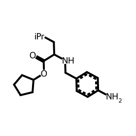 CC(C)CC(NCc1ccc(N)cc1)C(=O)OC1CCCC1